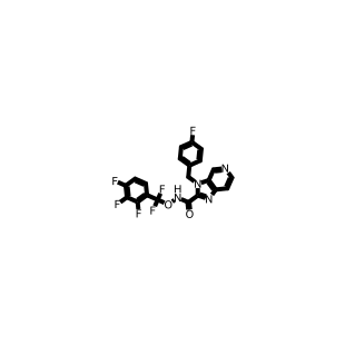 O=C(NOC(F)(F)c1ccc(F)c(F)c1F)c1nc2ccncc2n1Cc1ccc(F)cc1